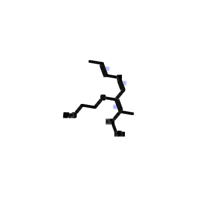 C/C=C/N=C\C(OCCOC)=C(/C)NCCCC